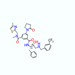 Cc1csc(CN(C)C(=O)c2cc(C(=O)N[C@@H](Cc3ccccc3)[C@H](O)CNCc3cccc(C(F)(F)F)c3)cc(N3CCCC3=O)c2)n1